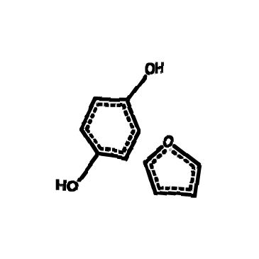 Oc1ccc(O)cc1.c1ccoc1